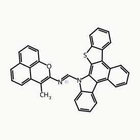 CC1=C(/N=C/n2c3ccccc3c3c4ccccc4c4c5ccccc5sc4c32)Oc2cccc3cccc1c23